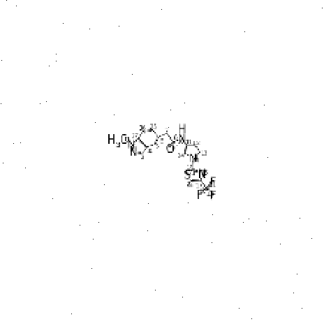 Cn1ncc2cc(CC(=O)NC3CCN(c4nc(C(F)(F)F)cs4)C3)ccc21